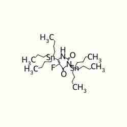 CCC[CH2][Sn]([CH2]CCC)([CH2]CCC)[c]1[nH]c(=O)[n]([Sn]([CH2]CCC)([CH2]CCC)[CH2]CCC)c(=O)c1F